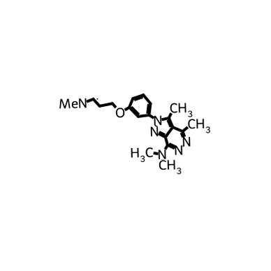 CN[CH]CCOc1cccc(-n2nc3c(N(C)C)nnc(C)c3c2C)c1